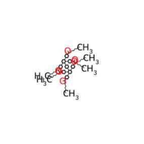 CCCCCCCC(=O)c1ccc(-c2ccc(-c3ccc(C(=O)CCCCCCC)cc3)c(-c3ccc(-c4c(-c5ccc(C(=O)CCCCCCC)cc5)ccc(-c5ccc(C(=O)CCCCCCC)cc5)c4-c4ccc(C(=O)CCCCCCC)cc4)cc3)c2-c2ccc(C(=O)CCCCCCC)cc2)cc1